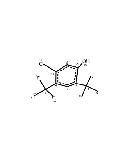 CC(C)(C)c1cc(C(F)(F)F)c(Cl)cc1O